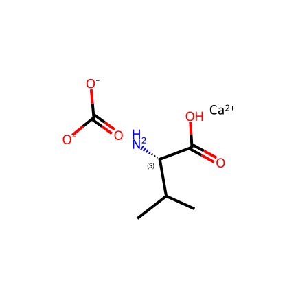 CC(C)[C@H](N)C(=O)O.O=C([O-])[O-].[Ca+2]